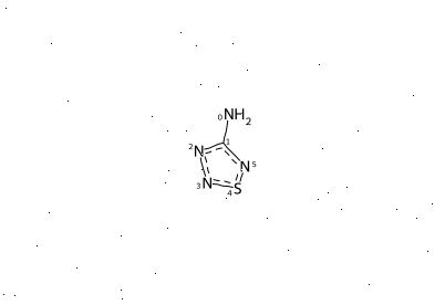 Nc1nnsn1